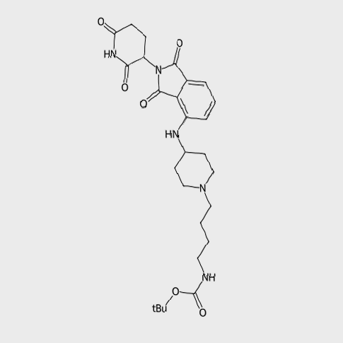 CC(C)(C)OC(=O)NCCCCN1CCC(Nc2cccc3c2C(=O)N(C2CCC(=O)NC2=O)C3=O)CC1